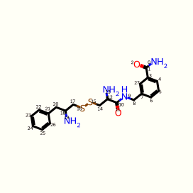 NC(=O)c1cccc(CNC(=O)C(N)CSSCC(N)Cc2ccccc2)c1